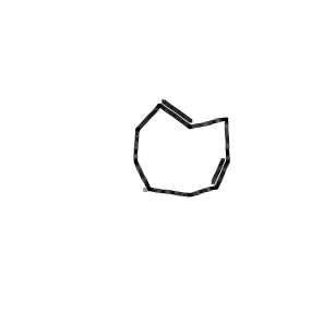 [CH]1C/C=C\C/C=C/CC1